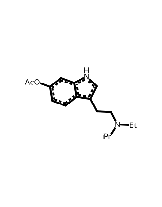 CCN(CCc1c[nH]c2cc(OC(C)=O)ccc12)C(C)C